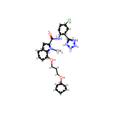 Cn1c(C(=O)Nc2ccc(Cl)cc2-c2nnn[nH]2)cc2cccc(OCCCOc3ccccc3)c21